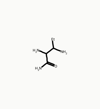 CCC(N)C(N)C(N)=O